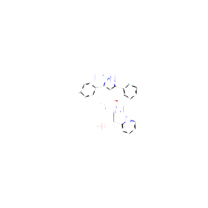 O=C(N[C@@H](CCO)C(O)c1ccccn1)c1cccc(F)c1-c1cc(-c2ccc(F)cc2)[nH]n1